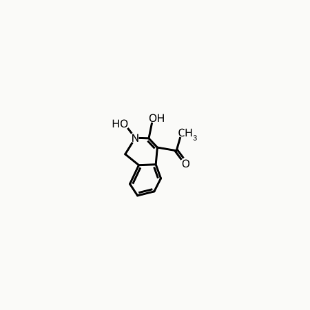 CC(=O)C1=C(O)N(O)Cc2ccccc21